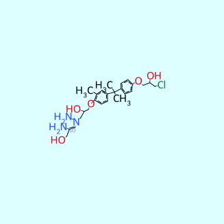 Cc1cc(C(C)(C)c2ccc(OCC(O)CCl)cc2)ccc1OCC(O)CN(N)/C=C(\N)CO